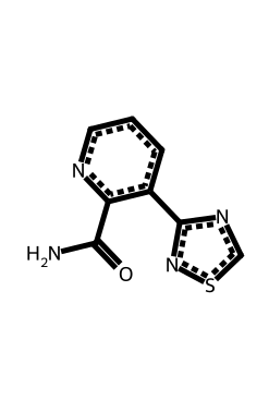 NC(=O)c1ncccc1-c1ncsn1